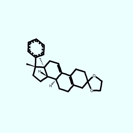 C[C@]12CC=C3C4=C(CC[C@H]3[C@@H]1CC[C@]2(C)c1ccccc1)CC1(CC4)OCCO1